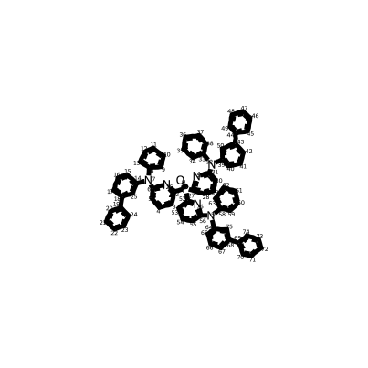 O=P(c1cccc(N(c2ccccc2)c2cccc(-c3ccccc3)c2)n1)(c1cccc(N(c2ccccc2)c2cccc(-c3ccccc3)c2)n1)c1cccc(N(c2ccccc2)c2cccc(-c3ccccc3)c2)n1